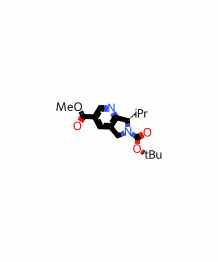 COC(=O)c1cnc2c(c1)CN(C(=O)OC(C)(C)C)[C@H]2C(C)C